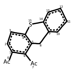 CC(=O)c1ccc2c(c1C(C)=O)Cc1ccccc1S2